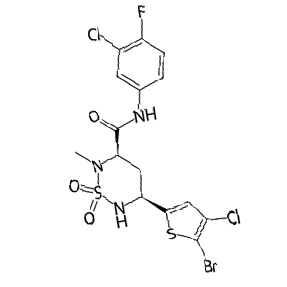 CN1[C@@H](C(=O)Nc2ccc(F)c(Cl)c2)C[C@@H](c2cc(Cl)c(Br)s2)NS1(=O)=O